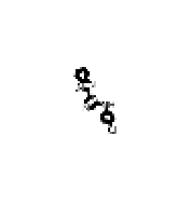 Cn1c(-c2cncc(Nc3ccc(Cl)cc3)n2)nc2ccccc21